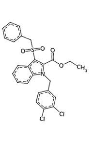 CCOC(=O)c1c(S(=O)(=O)Cc2ccccc2)c2ccccc2n1Cc1ccc(Cl)c(Cl)c1